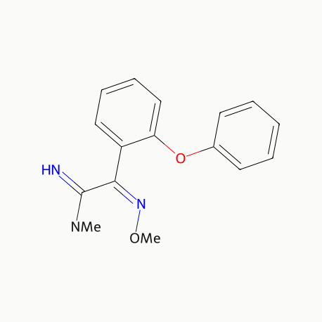 CNC(=N)C(=NOC)c1ccccc1Oc1ccccc1